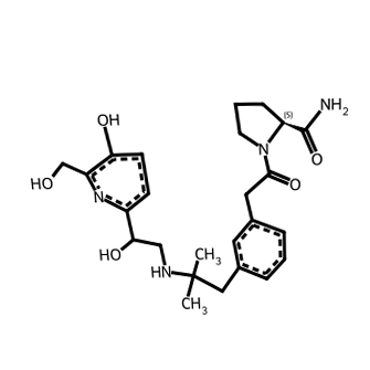 CC(C)(Cc1cccc(CC(=O)N2CCC[C@H]2C(N)=O)c1)NCC(O)c1ccc(O)c(CO)n1